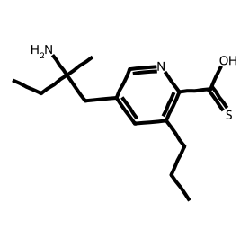 CCCc1cc(CC(C)(N)CC)cnc1C(O)=S